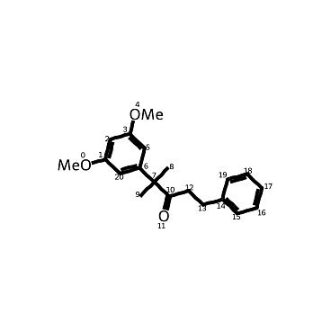 COc1cc(OC)cc(C(C)(C)C(=O)CCc2ccccc2)c1